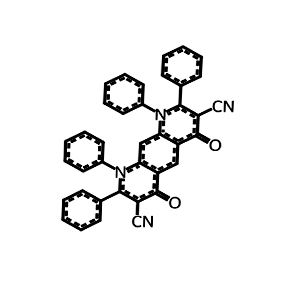 N#Cc1c(-c2ccccc2)n(-c2ccccc2)c2cc3c(cc2c1=O)c(=O)c(C#N)c(-c1ccccc1)n3-c1ccccc1